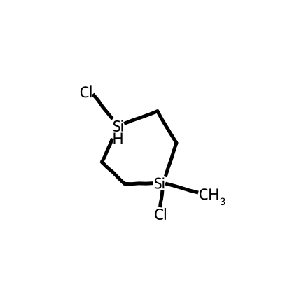 C[Si]1(Cl)CC[SiH](Cl)CC1